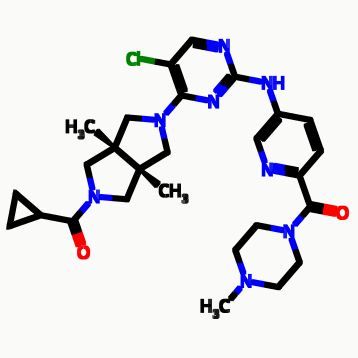 CN1CCN(C(=O)c2ccc(Nc3ncc(Cl)c(N4C[C@]5(C)CN(C(=O)C6CC6)C[C@]5(C)C4)n3)cn2)CC1